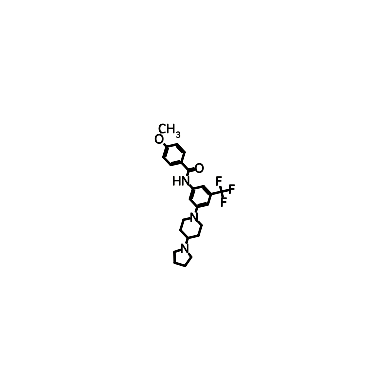 COc1ccc(C(=O)Nc2cc(N3CCC(N4CCCC4)CC3)cc(C(F)(F)F)c2)cc1